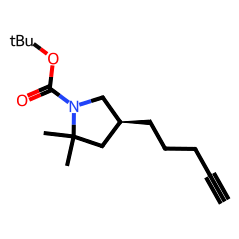 C#CCCC[C@@H]1CN(C(=O)OC(C)(C)C)C(C)(C)C1